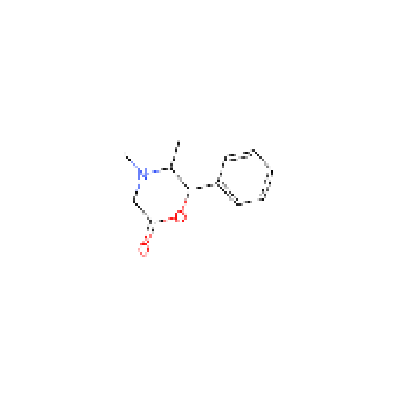 CC1C(c2ccccc2)OC(=O)CN1C